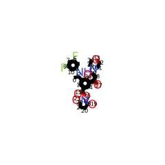 CC(Nc1cc(F)cc(F)c1)c1cc(C(=O)ON2C(=O)CCC2=O)cc2c(=O)cc(N3CCOCC3)oc12